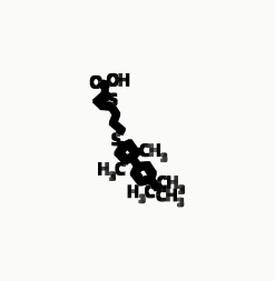 Cc1cc(SCCCc2ccc(C(=O)O)s2)cc(C)c1-c1ccc(C(C)(C)C)cc1